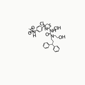 CS(=O)(=O)Nc1ccc([C@]2(Cl)CSC(NC(=O)N(CCO)CCC(c3ccccc3)c3ccccc3)=N2)cc1.Cl